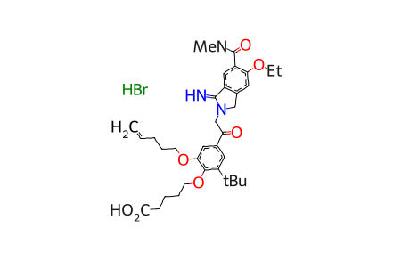 Br.C=CCCCOc1cc(C(=O)CN2Cc3cc(OCC)c(C(=O)NC)cc3C2=N)cc(C(C)(C)C)c1OCCCCC(=O)O